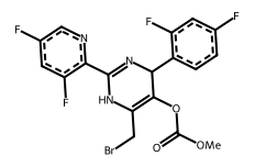 COC(=O)OC1=C(CBr)NC(c2ncc(F)cc2F)=NC1c1ccc(F)cc1F